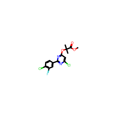 COC(=O)C(C)(C)Oc1cc(Cl)nc(-c2ccc(Cl)c(F)c2)n1